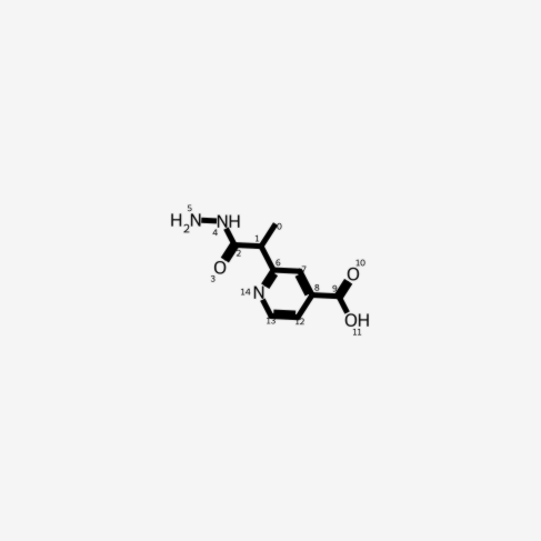 CC(C(=O)NN)c1cc(C(=O)O)ccn1